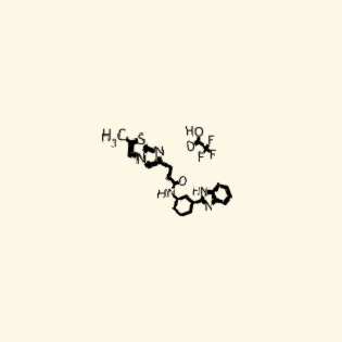 Cc1cn2cc(CCC(=O)NC3CCCC(c4nc5ccccc5[nH]4)C3)nc2s1.O=C(O)C(F)(F)F